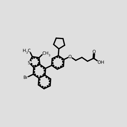 Cc1sc2c(Br)c3ccccc3c(-c3ccc(OCCCC(=O)O)c(C4CCCC4)c3)c2c1C